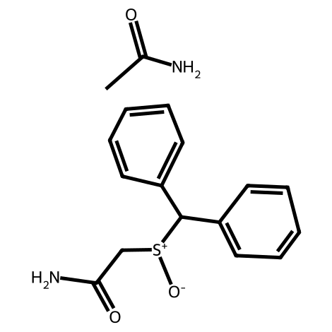 CC(N)=O.NC(=O)C[S+]([O-])C(c1ccccc1)c1ccccc1